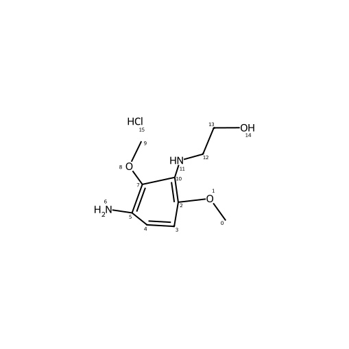 COc1ccc(N)c(OC)c1NCCO.Cl